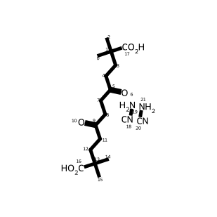 CC(C)(CCC(=O)CCC(=O)CCC(C)(C)C(=O)O)C(=O)O.N#CN.N#CN